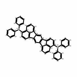 c1ccc(N(c2ccccc2)c2ccc3c4cc5c(cc4c4cccc2c43)c2ccc(N(c3ccccc3)c3ccccc3)c3cccc5c32)cc1